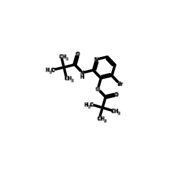 CC(C)(C)C(=O)Nc1nccc(Br)c1OC(=O)C(C)(C)C